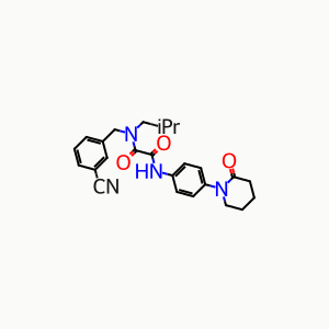 CC(C)CN(Cc1cccc(C#N)c1)C(=O)C(=O)Nc1ccc(N2CCCCC2=O)cc1